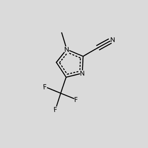 Cn1cc(C(F)(F)F)nc1C#N